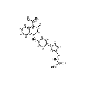 CCCCC(=O)NCc1nnc(-c2ccc(N[C@@H]3C[C@H](C)N(C(=O)CC)c4ccccc43)cc2)o1